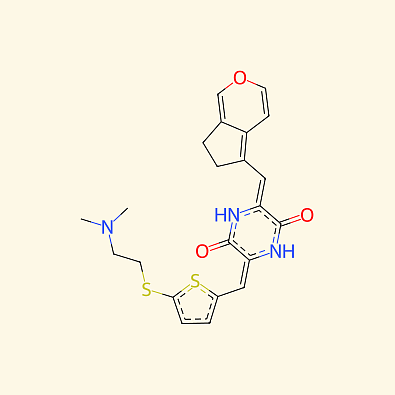 CN(C)CCSc1ccc(C=c2[nH]c(=O)c(=CC3=C4C=COC=C4CC3)[nH]c2=O)s1